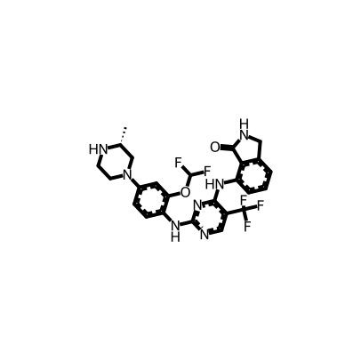 C[C@@H]1CN(c2ccc(Nc3ncc(C(F)(F)F)c(Nc4cccc5c4C(=O)NC5)n3)c(OC(F)F)c2)CCN1